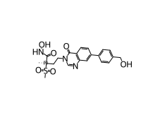 C[C@@](CCn1cnc2cc(-c3ccc(CO)cc3)ccc2c1=O)(C(=O)NO)S(C)(=O)=O